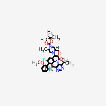 COc1cccc(F)c1-c1c(F)cc2c3c(c(=O)n(-c4c(C(C)C)ncnc4C(C)C)c2c1F)OC[C@H]1CN(C(=O)OC(C)(C)C)[C@H](C)CN31